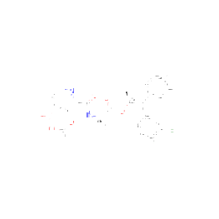 COc1ccnc(C(=O)N[C@@H](C)C(=O)O[C@@H](C)C(c2ccc(F)c(F)c2)c2ccc(F)c(F)c2)c1OC(C)=O